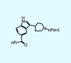 CCCCCN1CCC(c2c[nH]c3ccc(C(=O)CCC)cc23)CC1